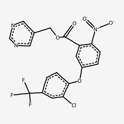 O=C(OCc1cncnc1)c1cc(Oc2ccc(C(F)(F)F)cc2Cl)ccc1[N+](=O)[O-]